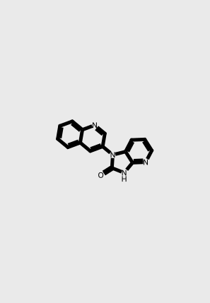 O=c1[nH]c2ncccc2n1-c1cnc2ccccc2c1